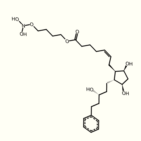 O=C(CCC/C=C\C[C@@H]1[C@@H](CC[C@@H](O)CCc2ccccc2)[C@H](O)C[C@@H]1O)OCCCCON(O)O